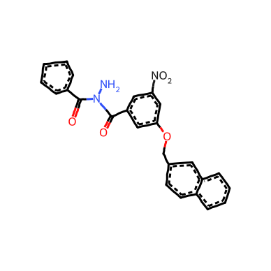 NN(C(=O)c1ccccc1)C(=O)c1cc(OCc2ccc3ccccc3c2)cc([N+](=O)[O-])c1